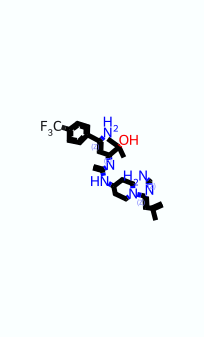 C=C(C)/C=C(\N=C/N)N1CCC(NC(=C)/N=C(\C=C(/N)c2ccc(C(F)(F)F)cc2)C(C)(C)O)CC1